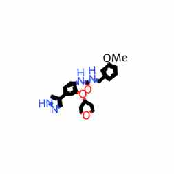 COc1cccc(CNC(=O)Nc2ccc(-c3cn[nH]c3)cc2OC2CCOCC2)c1